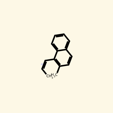 C/C=C\c1c(C)ccc2ccccc12